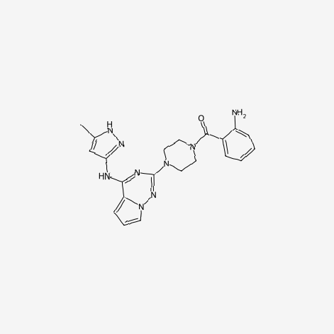 Cc1cc(Nc2nc(N3CCN(C(=O)c4ccccc4N)CC3)nn3cccc23)n[nH]1